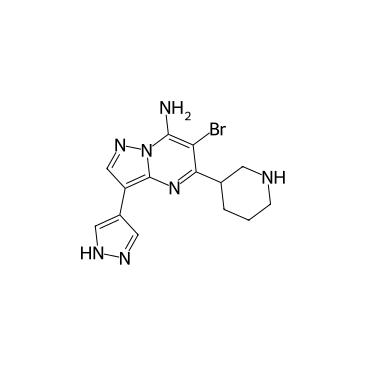 Nc1c(Br)c(C2CCCNC2)nc2c(-c3cn[nH]c3)cnn12